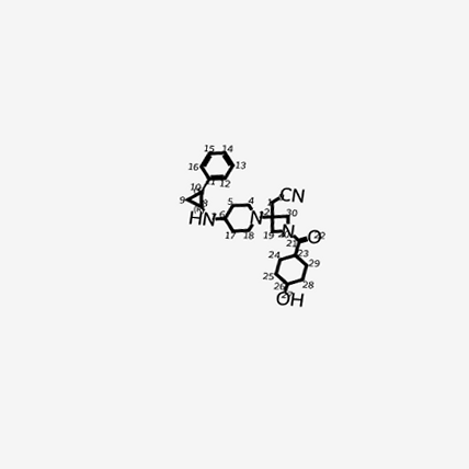 N#CCC1(N2CCC(N[C@@H]3C[C@H]3c3ccccc3)CC2)CN(C(=O)C2CCC(O)CC2)C1